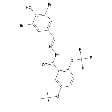 O=C(NN=Cc1cc(Br)c(O)c(Br)c1)c1cc(OC(F)(F)F)ccc1OC(F)(F)F